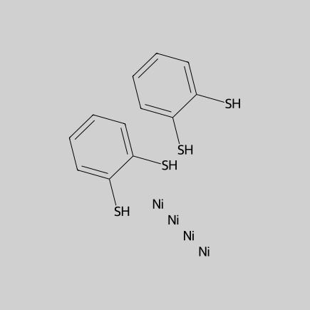 Sc1ccccc1S.Sc1ccccc1S.[Ni].[Ni].[Ni].[Ni]